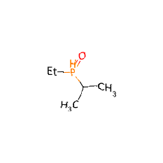 CC[PH](=O)C(C)C